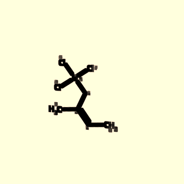 CC=C(C)C[Si](Cl)(Cl)Cl